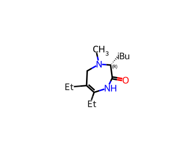 CCC1=C(CC)NC(=O)[C@@H](C(C)CC)N(C)C1